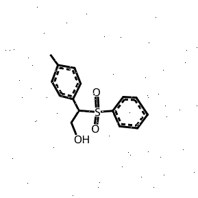 Cc1ccc(C(CO)S(=O)(=O)c2ccccc2)cc1